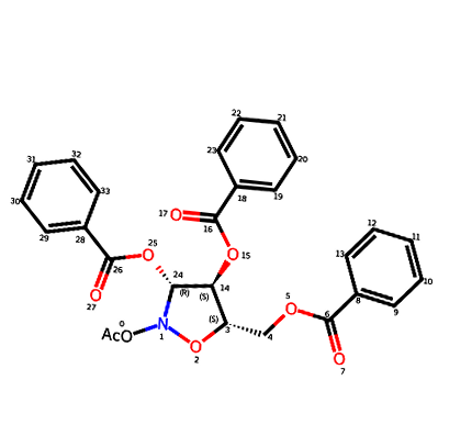 CC(=O)ON1O[C@@H](COC(=O)c2ccccc2)[C@H](OC(=O)c2ccccc2)[C@H]1OC(=O)c1ccccc1